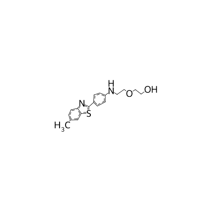 Cc1ccc2nc(-c3ccc(NCCOCCO)cc3)sc2c1